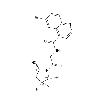 N#C[C@@H]1C[C@@H]2C[C@@H]2N1C(=O)CNC(=O)c1ccnc2ccc(Br)cc12